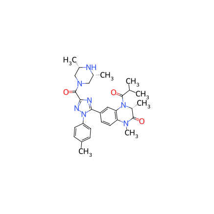 Cc1ccc(-n2nc(C(=O)N3C[C@@H](C)N[C@@H](C)C3)nc2-c2ccc3c(c2)N(C(=O)C(C)C)[C@H](C)C(=O)N3C)cc1